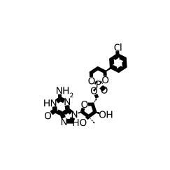 C[C@@]1(O)[C@H](O)[C@@H](CO[P@@]2(=O)OCC[C@@H](c3cccc(Cl)c3)O2)O[C@H]1n1cnc2c(=O)[nH]c(N)nc21